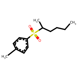 CCCCC(C)S(=O)(=O)c1ccc(C)cc1